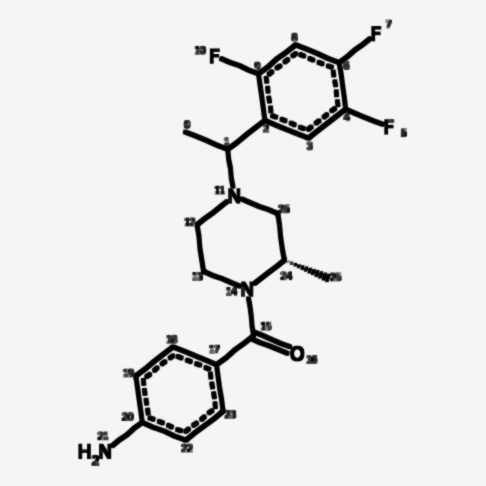 CC(c1cc(F)c(F)cc1F)N1CCN(C(=O)c2ccc(N)cc2)[C@@H](C)C1